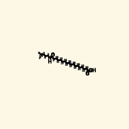 CN(C)CCCNC(=O)CCCCCCC/C=C/CCCCCCCC(=O)O